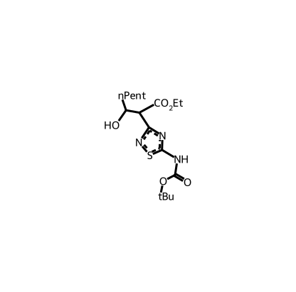 CCCCCC(O)C(C(=O)OCC)c1nsc(NC(=O)OC(C)(C)C)n1